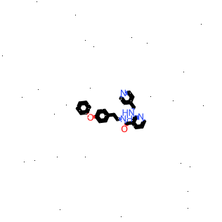 O=C(NCCc1ccc(Oc2ccccc2)cc1)c1cccnc1NCc1ccncc1